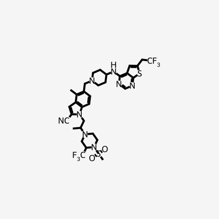 Cc1c(CN2CCC(Nc3ncnc4sc(CC(F)(F)F)cc34)CC2)ccc2c1cc(C#N)n2CC(C)N1CCN(S(C)(=O)=O)C(C(F)(F)F)C1